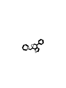 C1=CC=CN(CC2OCC(c3ccccc3)c3ccsc32)C=C1